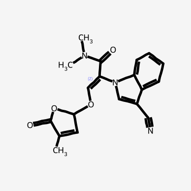 CC1=CC(O/C=C(/C(=O)N(C)C)n2cc(C#N)c3ccccc32)OC1=O